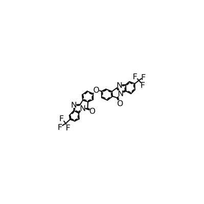 O=C1c2cc(Oc3ccc4c(c3)-c3nc5cc(C(F)(F)F)ccc5n3C4=O)ccc2-c2nc3cc(C(F)(F)F)ccc3n21